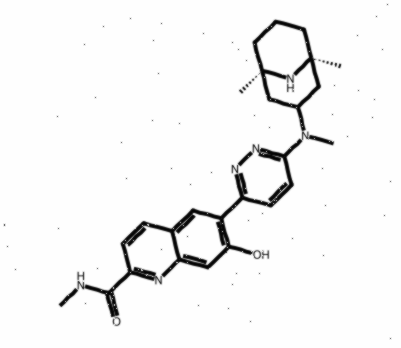 CNC(=O)c1ccc2cc(-c3ccc(N(C)C4C[C@]5(C)CCC[C@](C)(C4)N5)nn3)c(O)cc2n1